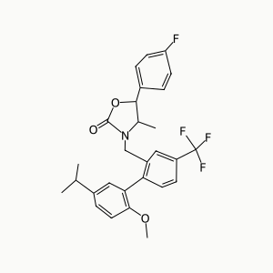 COc1ccc(C(C)C)cc1-c1ccc(C(F)(F)F)cc1CN1C(=O)OC(c2ccc(F)cc2)C1C